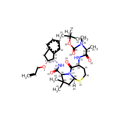 C=CCO[C@@H]1Cc2ccccc2[C@@H]1NC(=O)[C@H]1N2C(=O)[C@@H](NC(=O)[C@H](C)N(C)C(=O)OC(C)(C)C)CCS[C@H]2CC1(C)C